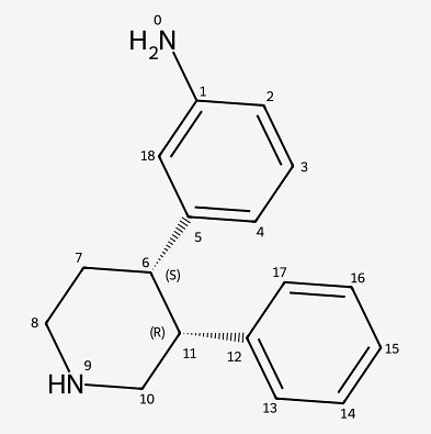 Nc1cccc([C@H]2CCNC[C@H]2c2ccccc2)c1